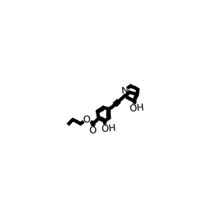 CCCOC(=O)c1ccc(C#CC2C(O)C3CCN2CC3)cc1O